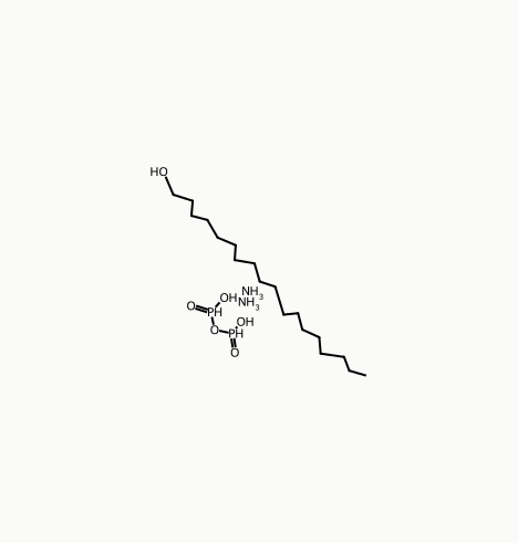 CCCCCCCCCCCCCCCCCCO.N.N.O=[PH](O)O[PH](=O)O